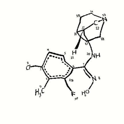 Cc1c(Cl)ccc(/C(=N\O)N[C@H]2CN3CCC2CC3)c1F